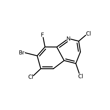 Fc1c(Br)c(Cl)cc2c(Cl)cc(Cl)nc12